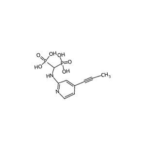 CC#Cc1ccnc(NC(P(=O)(O)O)P(=O)(O)O)c1